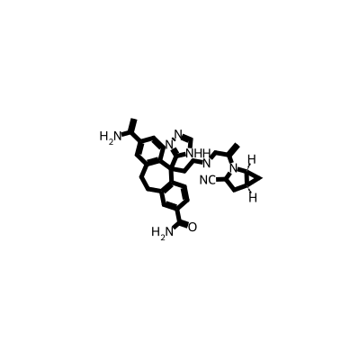 C=C(N)c1ccc2c(c1)CCc1cc(C(N)=O)ccc1C2(CCNCC(=C)N1C(C#N)C[C@@H]2C[C@@H]21)c1nnc[nH]1